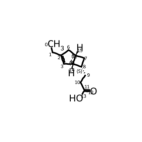 CCC1=C[C@@H]2[C@H](C1)C[C@@H]2CCC(=O)O